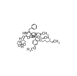 C=CCCCCOc1cc(OC)ccc1S(=O)(=O)N(C[C@H](C)CC=C)C[C@@H](O)[C@H](Cc1ccccc1)NC(=O)OC1CO[C@H]2OCC[C@@H]12